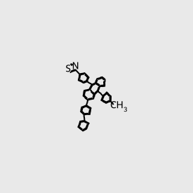 Cc1ccc(-c2c3ccccc3c(-c3ccc(-c4cscn4)cc3)c3ccc(-c4ccc(-c5ccccc5)cc4)cc23)cc1